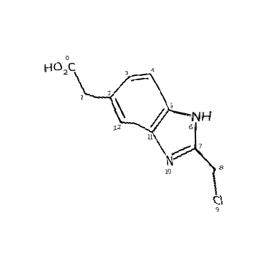 O=C(O)Cc1ccc2[nH]c(CCl)nc2c1